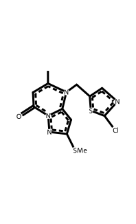 CSc1cc2n(Cc3cnc(Cl)s3)c(C)cc(=O)n2n1